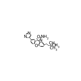 CC(C)(C)CCc1ccc2c(c1)[C@]1(COC(N)=N1)c1cc(-c3cncnc3)ccc1O2